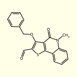 Cn1c(=O)c2c(OCc3ccccc3)c(C=O)sc2c2ccccc21